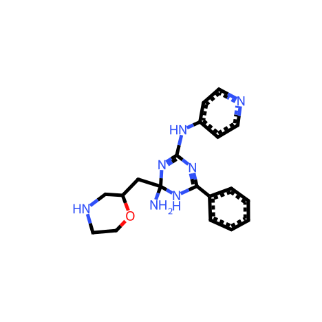 NC1(CC2CNCCO2)N=C(Nc2ccncc2)N=C(c2ccccc2)N1